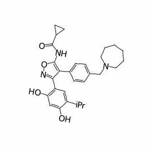 CC(C)c1cc(-c2noc(NC(=O)C3CC3)c2-c2ccc(CN3CCCCCC3)cc2)c(O)cc1O